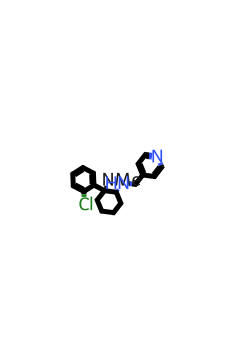 CN[C@]1(c2ccccc2Cl)CCCC[C@@H]1NCc1ccncc1